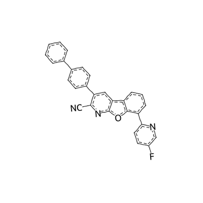 N#Cc1nc2oc3c(-c4ccc(F)cn4)cccc3c2cc1-c1ccc(-c2ccccc2)cc1